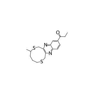 CCC(=O)c1ccc2nc3c(nc2c1)CSC(C)CCCSC3